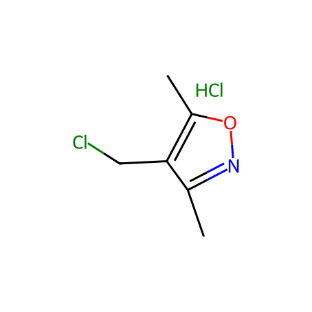 Cc1noc(C)c1CCl.Cl